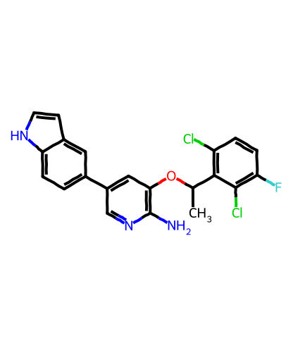 CC(Oc1cc(-c2ccc3[nH]ccc3c2)cnc1N)c1c(Cl)ccc(F)c1Cl